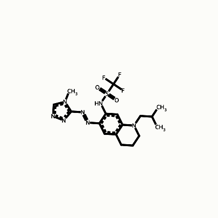 CC(C)CN1CCCc2cc(N=Nc3nncn3C)c(NS(=O)(=O)C(F)(F)F)cc21